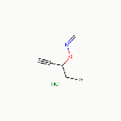 C#CC(CC(C)C)ON=C.Cl